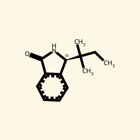 CCC(C)(C)[C@@H]1NC(=O)c2ccccc21